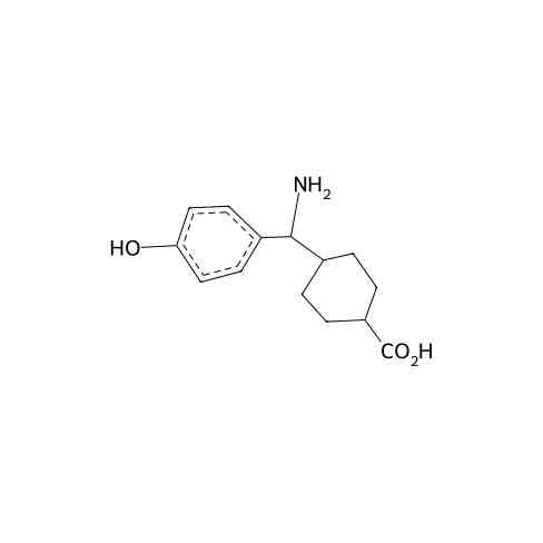 NC(c1ccc(O)cc1)C1CCC(C(=O)O)CC1